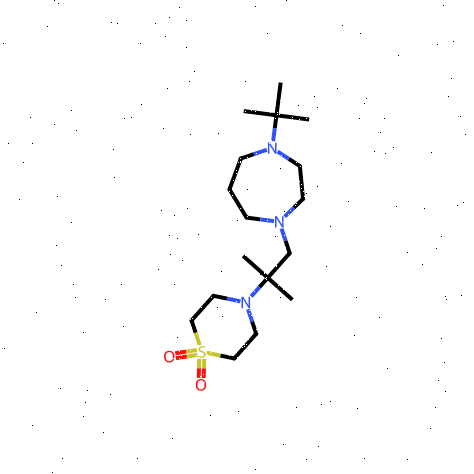 CC(C)(C)N1CCCN(CC(C)(C)N2CCS(=O)(=O)CC2)CC1